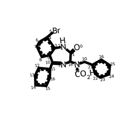 O=C1Nc2c(Br)cccc2C(c2ccccc2)=NC1N(Cc1ccccc1)C(=O)O